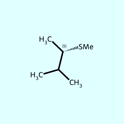 CS[C@@H](C)C(C)C